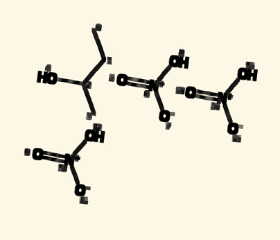 CCC(C)O.O=[N+]([O-])O.O=[N+]([O-])O.O=[N+]([O-])O